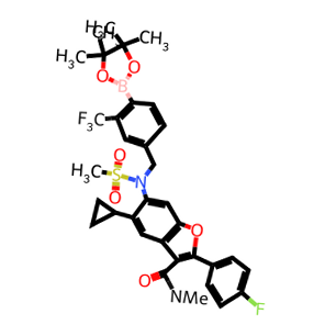 CNC(=O)c1c(-c2ccc(F)cc2)oc2cc(N(Cc3ccc(B4OC(C)(C)C(C)(C)O4)c(C(F)(F)F)c3)S(C)(=O)=O)c(C3CC3)cc12